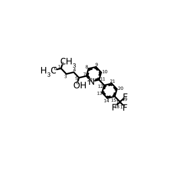 CC(C)CCC(O)c1cccc(-c2ccc(C(F)(F)F)cc2)n1